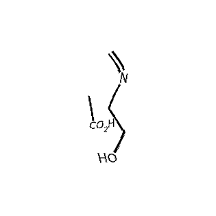 C=NCCO.CC(=O)O